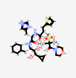 CC(C)(C(=O)N1CCOCC1)S(=O)(=O)C[C@@H](Cc1cccs1)C(=O)N[C@@H](Cc1c[nH]cn1)C(=O)N[C@@H](CC1CCCCC1)[C@@H](O)[C@@H](O)C1CC1